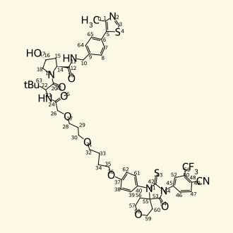 Cc1ncsc1-c1ccc(CNC(=O)[C@@H]2C[C@@H](O)CN2C(=O)C(NC(=O)COCCCOCCCCOc2ccc(N3C(=S)N(c4ccc(C#N)c(C(F)(F)F)c4)C(=O)C34CCOCC4)cc2)C(C)(C)C)cc1